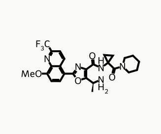 COc1ccc(-c2nc(C(=O)NC3(C(=O)N4CCCCC4)CC3)c([C@H](C)N)o2)c2ccc(C(F)(F)F)nc12